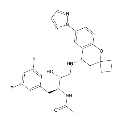 CC(=O)N[C@@H](Cc1cc(F)cc(F)c1)[C@H](O)CN[C@H]1CC2(CCC2)Oc2ccc(-n3nccn3)cc21